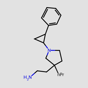 CCCC1(CCN)CCN(C2CC2c2ccccc2)C1